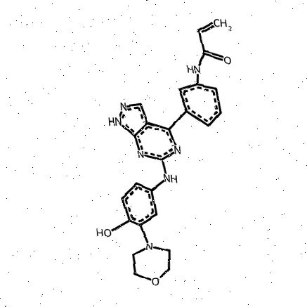 C=CC(=O)Nc1cccc(-c2nc(Nc3ccc(O)c(N4CCOCC4)c3)nc3[nH]ncc23)c1